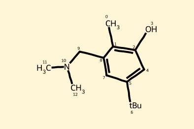 Cc1c(O)cc(C(C)(C)C)cc1CN(C)C